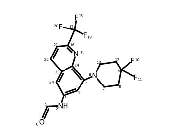 O=CNc1cc(N2CCC(F)(F)CC2)c2nc(C(F)(F)F)ccc2c1